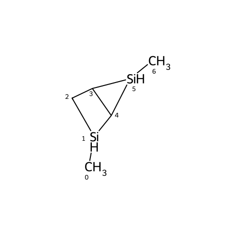 C[SiH]1CC2C1[SiH]2C